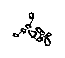 c1ccc(-c2ccc(N(c3ccc(-c4ccccc4)cc3)c3ccc(-c4cccc5c4-c4c(ccc6ccccc46)[Si]5(c4ccccc4)c4ccccc4)cc3)cc2)cc1